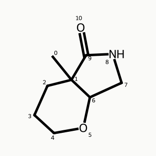 CC12CCCOC1CNC2=O